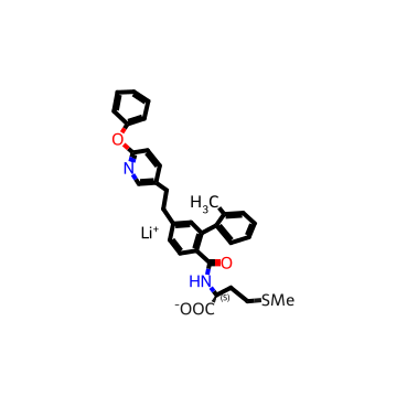 CSCC[C@H](NC(=O)c1ccc(CCc2ccc(Oc3ccccc3)nc2)cc1-c1ccccc1C)C(=O)[O-].[Li+]